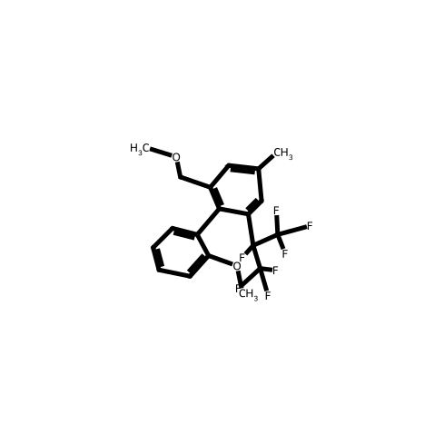 COCc1[c]c(C)cc(C(F)(C(F)(F)F)C(F)(F)F)c1-c1ccccc1OC